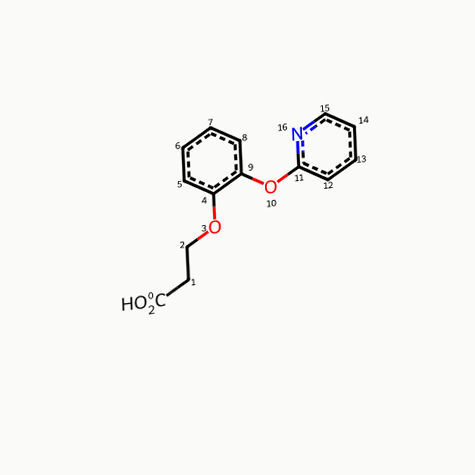 O=C(O)CCOc1ccccc1Oc1ccccn1